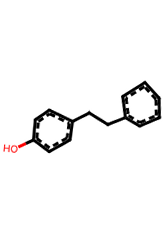 Oc1ccc([CH]Cc2ccccc2)cc1